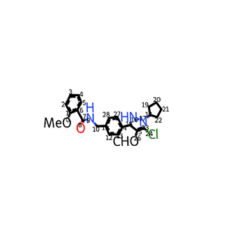 COc1ccccc1C(=O)NCc1ccc(C2NN(C3CCCC3)C(Cl)=C2C=O)cc1